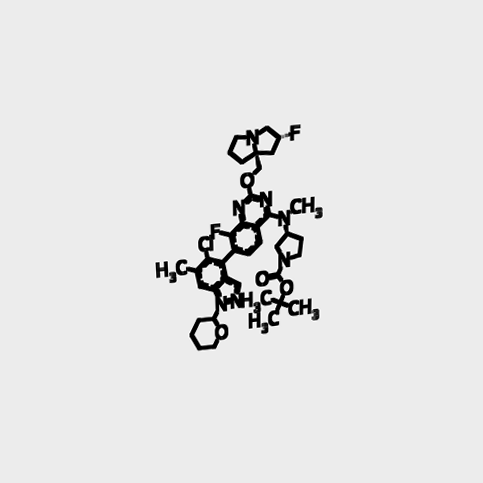 Cc1cc2c(cnn2C2CCCCO2)c(-c2ccc3c(N(C)[C@H]4CCN(C(=O)OC(C)(C)C)C4)nc(OC[C@@]45CCCN4C[C@H](F)C5)nc3c2F)c1Cl